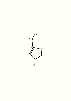 CSC1=N[C@@H](C)CS1